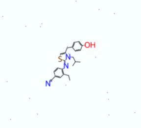 CCc1cc(C#N)ccc1N=c1scc(Cc2ccc(O)cc2)n1CC(C)C